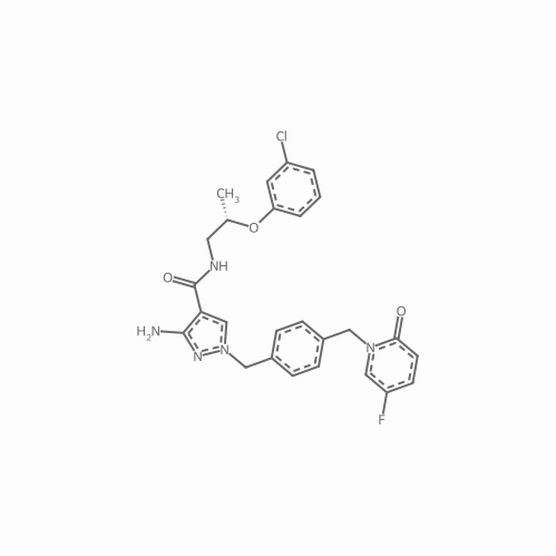 C[C@@H](CNC(=O)c1cn(Cc2ccc(Cn3cc(F)ccc3=O)cc2)nc1N)Oc1cccc(Cl)c1